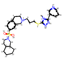 Cn1c(SCCCN2CCc3ccc(S(=O)(=O)N4CCC5CCCCC5C4)cc3C2)nnc1-c1cccnc1